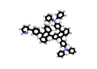 c1ccc(N(c2ccccc2)c2ccc(-c3c4ccccc4c(-c4ccc(N(c5ccccc5)c5ccccc5)cc4)c4cc(-c5c6ccccc6c(-c6ccc(-c7ccccn7)cc6)c6ccccc56)ccc34)cc2)cc1